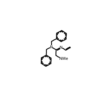 C=C/N=C(\CNC)N(Cc1ccccc1)Cc1ccccc1